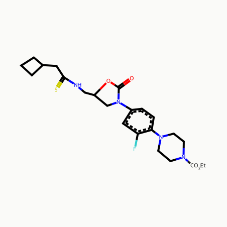 CCOC(=O)N1CCN(c2ccc(N3CC(CNC(=S)CC4CCC4)OC3=O)cc2F)CC1